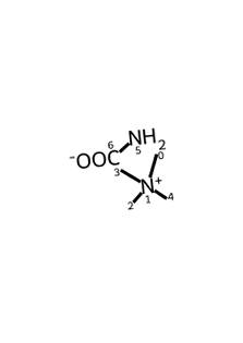 C[N+](C)(C)C.NC(=O)[O-]